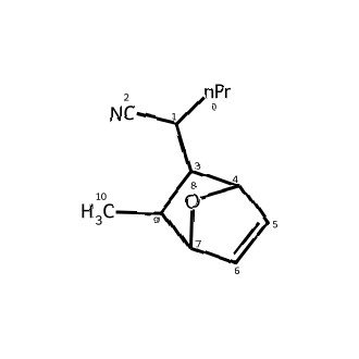 CCCC(C#N)C1C2C=CC(O2)C1C